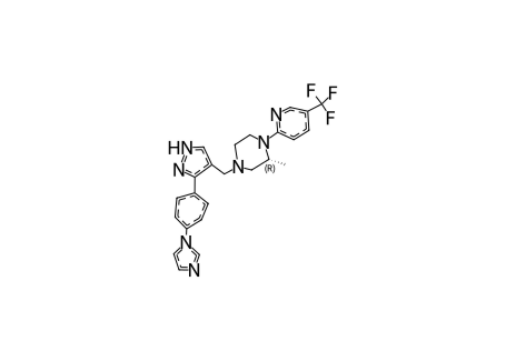 C[C@@H]1CN(Cc2c[nH]nc2-c2ccc(-n3ccnc3)cc2)CCN1c1ccc(C(F)(F)F)cn1